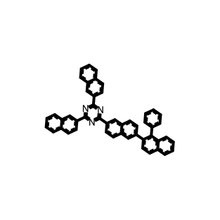 c1ccc(-c2c(-c3ccc4cc(-c5nc(-c6ccc7ccccc7c6)nc(-c6ccc7ccccc7c6)n5)ccc4c3)ccc3ccccc23)cc1